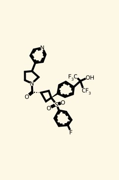 O=C([C@H]1C[C@@](c2ccc(C(O)(C(F)(F)F)C(F)(F)F)cc2)(S(=O)(=O)c2ccc(F)cc2)C1)N1CCC(c2ccncc2)C1